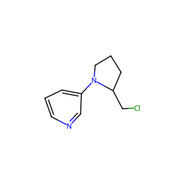 ClCC1CCCN1c1cccnc1